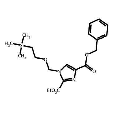 CCOC(=O)c1nc(C(=O)OCc2ccccc2)cn1COCC[Si](C)(C)C